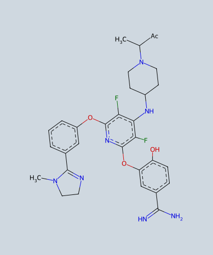 CC(=O)C(C)N1CCC(Nc2c(F)c(Oc3cccc(C4=NCCN4C)c3)nc(Oc3cc(C(=N)N)ccc3O)c2F)CC1